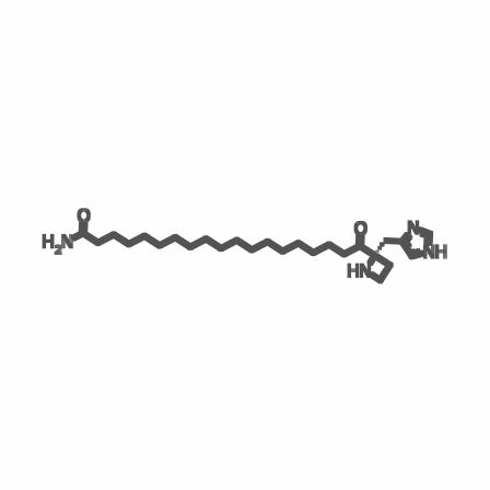 NC(=O)CCCCCCCCCCCCCCCCCC(=O)[C@@]1(Cc2c[nH]cn2)CCN1